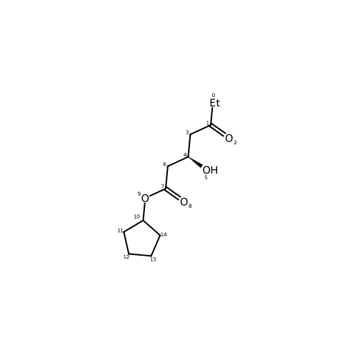 CCC(=O)C[C@@H](O)CC(=O)OC1CCCC1